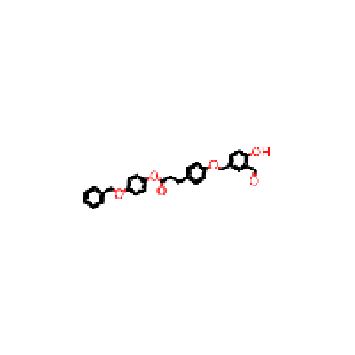 O=Cc1cc(COc2ccc(CCC(=O)Oc3ccc(OCc4ccccc4)cc3)cc2)ccc1O